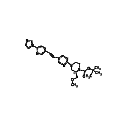 COC[C@H]1CN(c2ncc(C#Cc3ccc(-n4ccnc4)nc3)cn2)CCN1C(=O)OC(C)(C)C